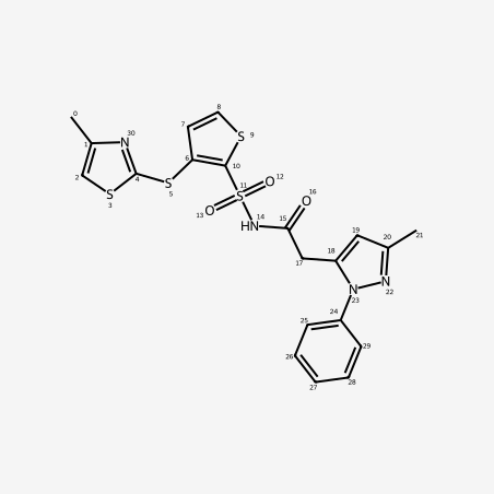 Cc1csc(Sc2ccsc2S(=O)(=O)NC(=O)Cc2cc(C)nn2-c2ccccc2)n1